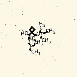 CCP(CC)CC.CCP(CC)CC.O=C(O)C1(C(=O)O)CCC1